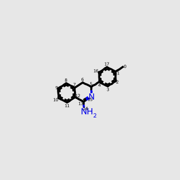 Cc1ccc(C2Cc3ccccc3C(N)=N2)cc1